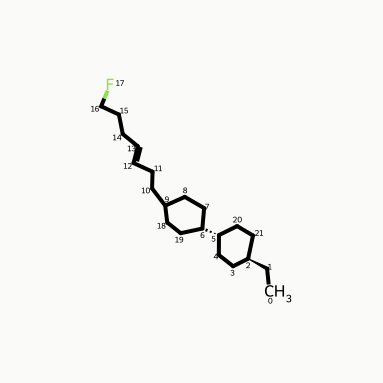 CC[C@H]1CC[C@H](C2CCC(CC/C=C/CCCF)CC2)CC1